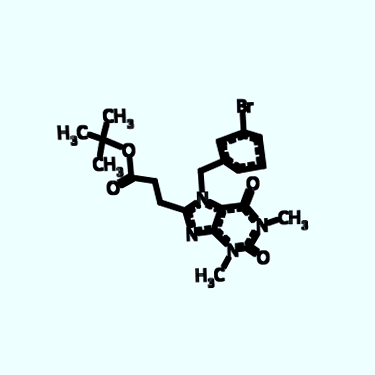 Cn1c(=O)c2c(nc(CCC(=O)OC(C)(C)C)n2Cc2cccc(Br)c2)n(C)c1=O